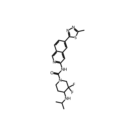 Cc1nnc(-c2ccc3cnc(NC(=O)N4CCC(NC(C)C)C(F)(F)C4)cc3c2)s1